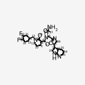 NC(=O)C[C@@H](NC(=O)c1cccn(Cc2ccc(F)c(F)c2)c1=O)c1ncc(-c2c[nH]c3ncccc23)o1